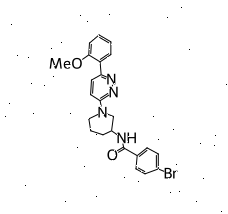 COc1ccccc1-c1ccc(N2CCCC(NC(=O)c3ccc(Br)cc3)C2)nn1